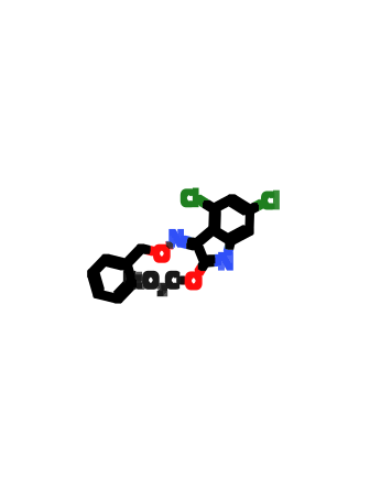 CCOC(=O)OC1=Nc2cc(Cl)cc(Cl)c2C1=NOCc1ccccc1